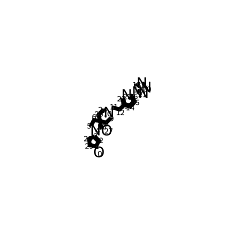 O=C1C=C(N2CCC3(CCN(CCc4ccc(-n5cnnn5)nc4)CC3)C2=O)CC1